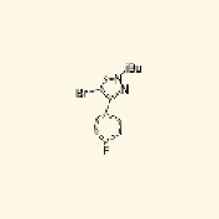 CCC(C)n1cc(Br)c(-c2ccc(F)cc2)n1